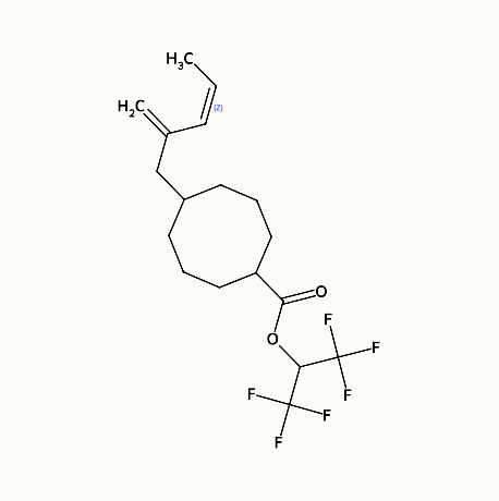 C=C(/C=C\C)CC1CCCC(C(=O)OC(C(F)(F)F)C(F)(F)F)CCC1